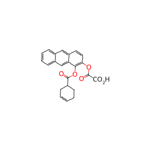 O=C(O)C(=O)Oc1ccc2cc3ccccc3cc2c1OC(=O)C1CC=CCC1